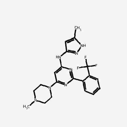 Cc1cc(Nc2cc(N3CCN(C)CC3)nc(-c3ccccc3C(F)(F)F)n2)n[nH]1